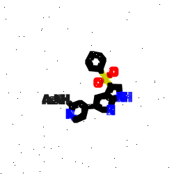 CC(=O)Nc1cc(-c2cnc3[nH]cc(S(=O)(=O)c4ccccc4)c3c2)ccn1